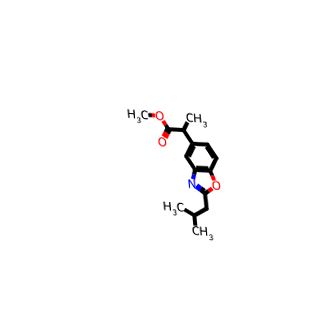 COC(=O)C(C)c1ccc2oc(CC(C)C)nc2c1